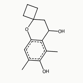 Cc1cc2c(c(C)c1O)C(O)CC1(CCC1)O2